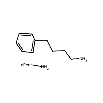 CCCCCN.NCCCCc1ccccc1